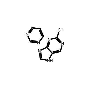 Sc1ncc2[nH]cnc2n1.c1cncnc1